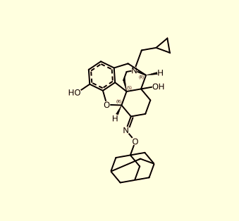 Oc1ccc2c3c1O[C@H]1C(=NOC45CC6CC(CC(C6)C4)C5)CCC4(O)[C@@H](C2)N(CC2CC2)CC[C@]314